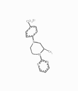 CCOC(=O)c1ccc(N2CCN(c3ncccn3)C(C)C2)cc1